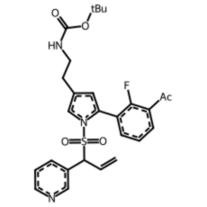 C=CC(c1cccnc1)S(=O)(=O)n1cc(CCNC(=O)OC(C)(C)C)cc1-c1cccc(C(C)=O)c1F